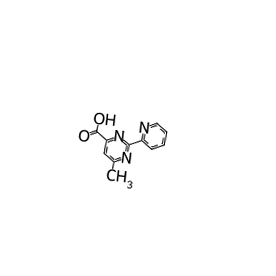 Cc1cc(C(=O)O)nc(-c2ccccn2)n1